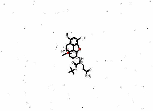 COc1cc(O)c2c3c1C[C@@H]1[C@@H]4CC[C@H](N[C@@H](CCC(N)=O)C(=O)OC(C)(C)C)[C@H](O2)[C@]34CCN1C